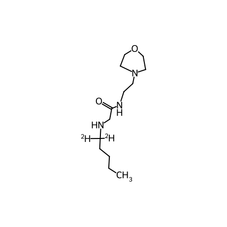 [2H]C([2H])(CCCC)NCC(=O)NCCN1CCOCC1